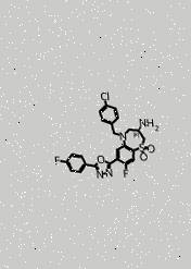 N[C@@H]1CN(Cc2ccc(Cl)cc2)c2cc(-c3nnc(-c4ccc(F)cc4)o3)c(F)cc2S(=O)(=O)C1